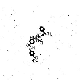 COC(=O)c1ccc(CNC(=O)[C@H]2CC[C@@H](Nc3nc(Cl)nc(NC[C@H](C)c4ccccc4)n3)CC2)cc1